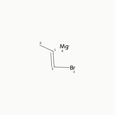 CC=CBr.[Mg]